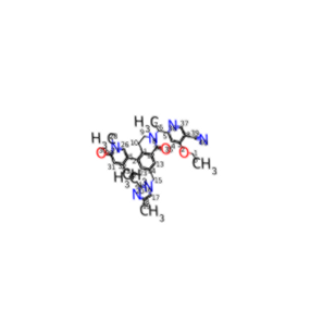 CCOc1cc(C(C)N2CCc3c(cc(Cn4cc(C)nc4C)cc3-c3cn(C)c(=O)cc3C)C2=O)ncc1C#N